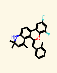 CC1=CC(C)(C)Nc2ccc3c(c21)C(=Cc1ccccc1C)Oc1c(F)cc(F)cc1-3